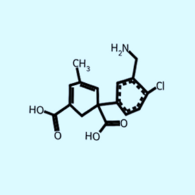 CC1=CC(C(=O)O)(c2ccc(Cl)c(CN)c2)CC(C(=O)O)=C1